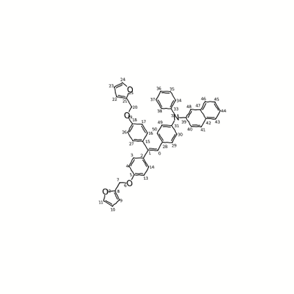 C(=C(c1ccc(OCc2ccco2)cc1)c1ccc(OCc2ccco2)cc1)c1ccc(N(c2ccccc2)c2ccc3ccccc3c2)cc1